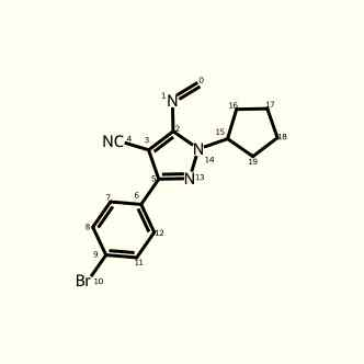 C=Nc1c(C#N)c(-c2ccc(Br)cc2)nn1C1CCCC1